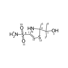 CC(C)(O)C1(C)NC(S(N)(=O)=O)=CS1